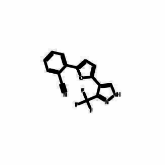 N#Cc1ccccc1-c1ccc(-c2c[nH]nc2C(F)(F)F)o1